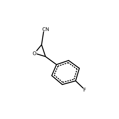 N#CC1OC1c1ccc(F)cc1